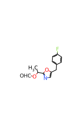 CC(OC=O)c1ncc(Cc2ccc(F)cc2)o1